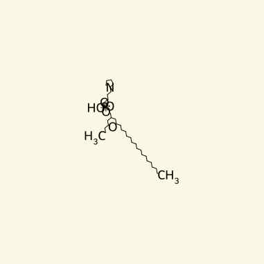 CCCCCCCCCCCCCCCCCCCC(COP(=O)(O)OCCCN1CCCC1)CC(=O)CCC